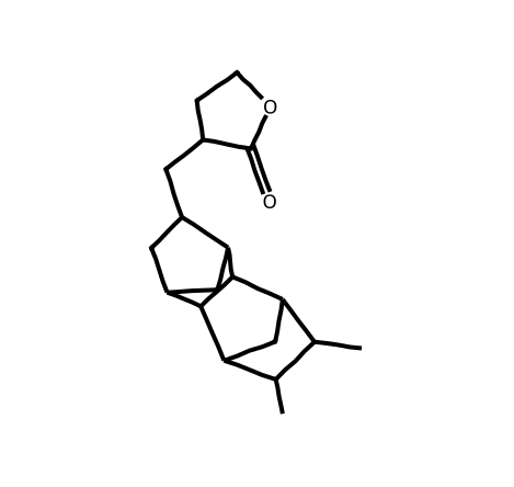 CC1C(C)C2CC1C1C3CC(CC4CCOC4=O)C(C3)C21